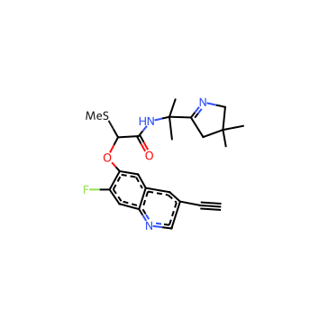 C#Cc1cnc2cc(F)c(OC(SC)C(=O)NC(C)(C)C3=NCC(C)(C)C3)cc2c1